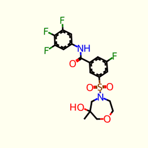 CC1(O)COCCN(S(=O)(=O)c2cc(F)cc(C(=O)Nc3cc(F)c(F)c(F)c3)c2)C1